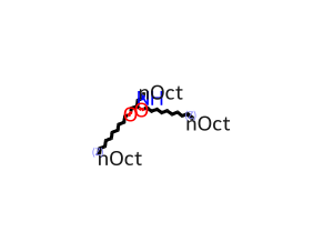 CCCCCCCC/C=C\CCCCCCCCOCC(CNCCCCCCCC)OCCCCCCCC/C=C\CCCCCCCC